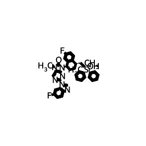 Cn1c(=O)n([C@@H]2CC[C@@H](CC(C)(C)[Si](O)(c3ccccc3)c3ccccc3)c3ccc(F)cc32)c2nc(-n3cnc4ccc(F)cc43)ncc21